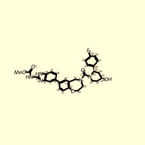 COC(=O)Nc1nc2cc(-c3ccc4c(c3)CN(C(=O)N3CC[C@H](O)C[C@@H]3c3ccc(F)cc3)CCO4)ccc2[nH]1